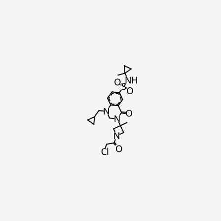 CC1(NS(=O)(=O)c2ccc3c(c2)C(=O)N(C2(C)CN(C(=O)CCl)C2)CN3CC2CC2)CC1